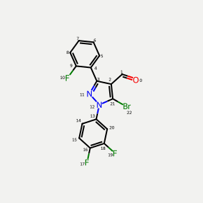 O=Cc1c(-c2ccccc2F)nn(-c2ccc(F)c(F)c2)c1Br